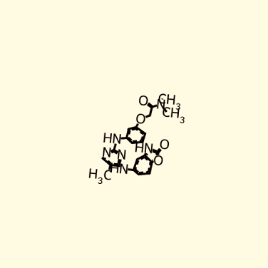 Cc1cnc(Nc2cccc(OCC(=O)N(C)C)c2)nc1Nc1ccc2oc(=O)[nH]c2c1